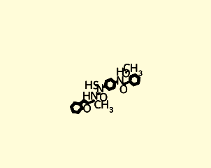 COc1ccccc1C(=O)Nc1ccc(N(S)C(=O)NC(C)c2cc3ccccc3o2)cc1